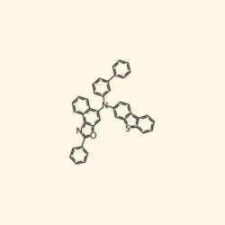 c1ccc(-c2cccc(N(c3ccc4c(c3)sc3ccccc34)c3cc4oc(-c5ccccc5)nc4c4ccccc34)c2)cc1